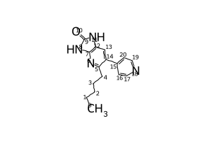 CCCCCc1nc2[nH]c(=O)[nH]c2cc1-c1ccncc1